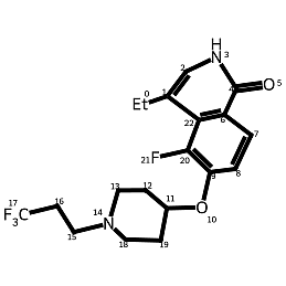 CCc1c[nH]c(=O)c2ccc(OC3CCN(CCC(F)(F)F)CC3)c(F)c12